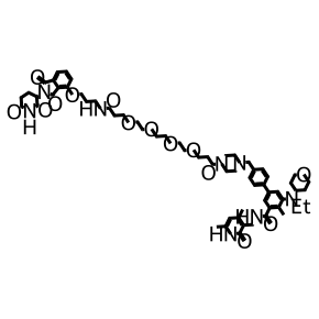 CCN(c1cc(-c2ccc(CN3CCN(C(=O)CCOCCOCCOCCOCCC(=O)NCCCOc4cccc5c4C(=O)N(C4CCC(=O)NC4=O)C5=O)CC3)cc2)cc(C(=O)NCc2c(C)cc(C)[nH]c2=O)c1C)C1CCOCC1